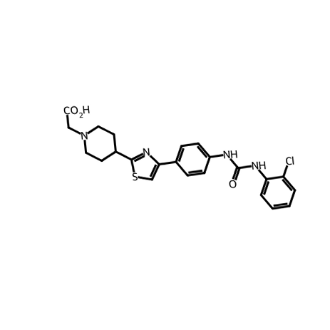 O=C(O)CN1CCC(c2nc(-c3ccc(NC(=O)Nc4ccccc4Cl)cc3)cs2)CC1